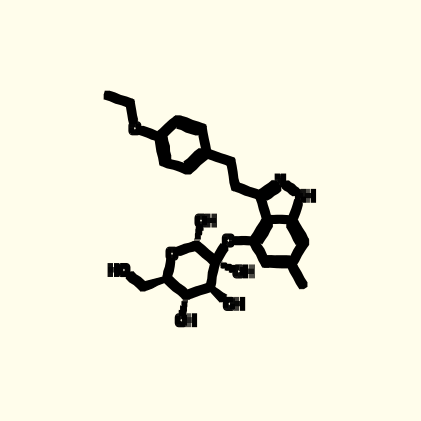 CCOc1ccc(CCc2n[nH]c3cc(C)cc(O[C@]4(O)[C@@H](O)O[C@H](CO)[C@@H](O)[C@@H]4O)c23)cc1